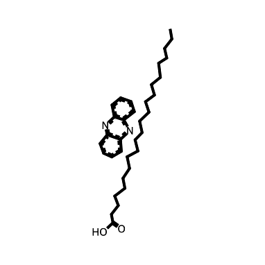 CCCCCCCCCCCCCCCCCCCCCC(=O)O.c1ccc2nc3ccccc3nc2c1